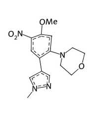 COc1cc(N2CCOCC2)c(-c2cnn(C)c2)cc1[N+](=O)[O-]